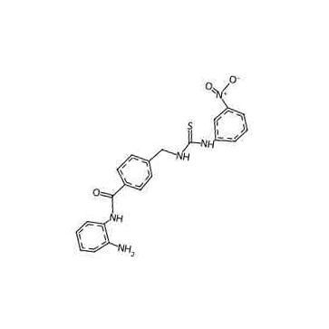 Nc1ccccc1NC(=O)c1ccc(CNC(=S)Nc2cccc([N+](=O)[O-])c2)cc1